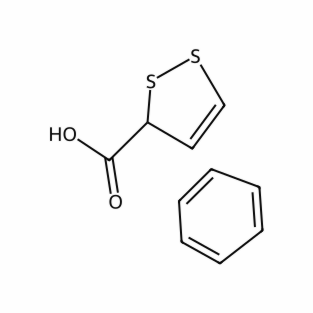 O=C(O)C1C=CSS1.c1ccccc1